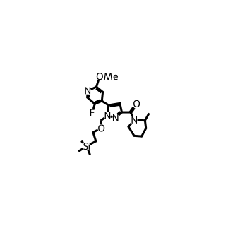 COc1cc(-c2cc(C(=O)N3CCCCC3C)nn2COCC[Si](C)(C)C)c(F)cn1